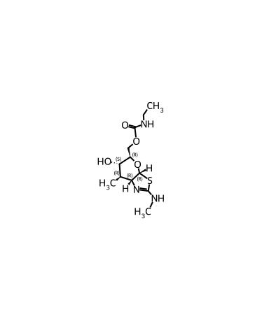 CCNC(=O)OC[C@H]1O[C@@H]2SC(NC)=N[C@@H]2[C@@H](C)[C@@H]1O